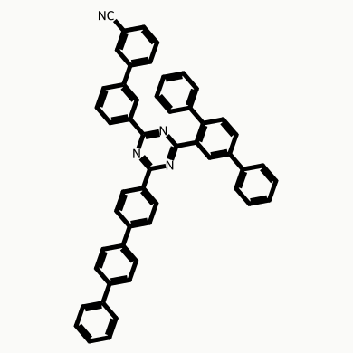 N#Cc1cccc(-c2cccc(-c3nc(-c4ccc(-c5ccc(-c6ccccc6)cc5)cc4)nc(-c4cc(-c5ccccc5)ccc4-c4ccccc4)n3)c2)c1